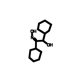 ON=C(C1CCCCC1)C(O)C1CCCCC1